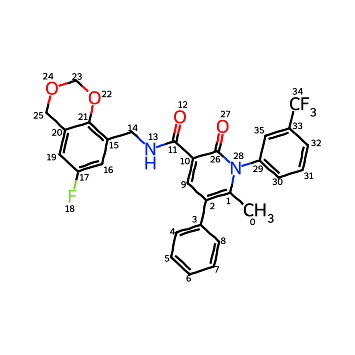 Cc1c(-c2ccccc2)cc(C(=O)NCc2cc(F)cc3c2OCOC3)c(=O)n1-c1cccc(C(F)(F)F)c1